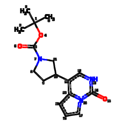 CC(C)(C)OC(=O)N1CCC(c2c[nH]c(=O)n3cccc23)C1